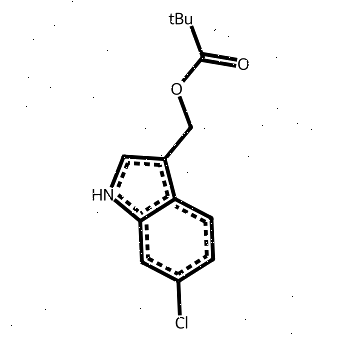 CC(C)(C)C(=O)OCc1c[nH]c2cc(Cl)ccc12